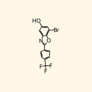 Oc1cc(Br)c2oc(-c3ccc(C(F)(F)F)cc3)nc2c1